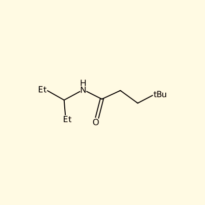 CCC(CC)NC(=O)CCC(C)(C)C